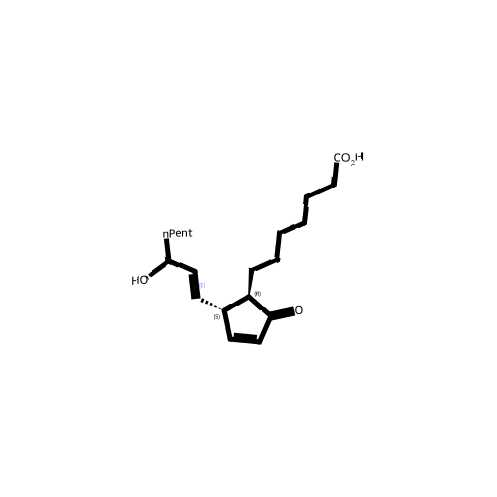 CCCCCC(O)/C=C/[C@H]1C=CC(=O)[C@@H]1CCCCCCC(=O)O